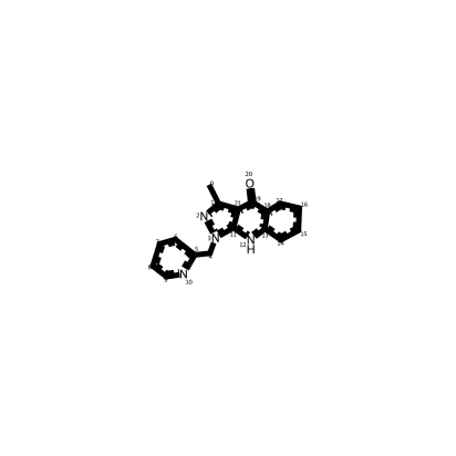 Cc1nn(Cc2ccccn2)c2[nH]c3ccccc3c(=O)c12